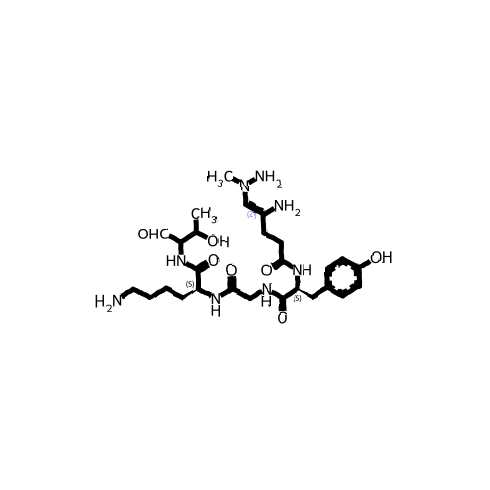 CC(O)C(C=O)NC(=O)[C@H](CCCCN)NC(=O)CNC(=O)[C@H](Cc1ccc(O)cc1)NC(=O)CC/C(N)=C/N(C)N